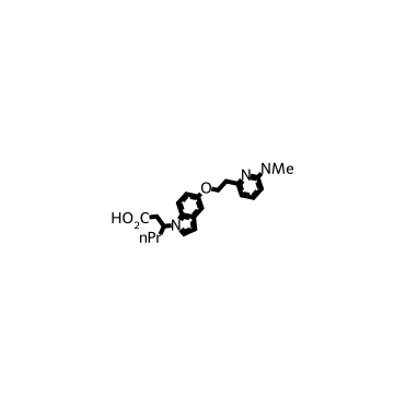 CCCC(CC(=O)O)n1ccc2cc(OCCc3cccc(NC)n3)ccc21